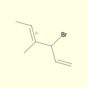 C=CC(Br)/C(C)=C/C